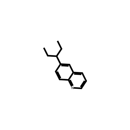 CCC(CC)c1ccc2ncccc2c1